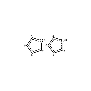 c1ccoc1.c1ccoc1